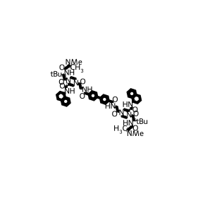 CN[C@@H](C)C(=O)N[C@H](C(=O)N1CCN(C(=O)CNC(=O)c2ccc(-c3ccc(C(=O)NCC(=O)N4CCN(C(=O)[C@@H](NC(=O)[C@H](C)NC)C(C)(C)C)[C@H](C(=O)N[C@@H]5CCCc6ccccc65)C4)cc3)cc2)C[C@H]1C(=O)N[C@@H]1CCCc2ccccc21)C(C)(C)C